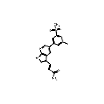 CS(=O)(=O)c1cc(F)cc(-c2cnc3[nH]cc(C=CC(N)=O)c3c2)c1